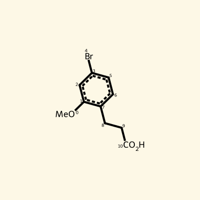 COc1cc(Br)ccc1CCC(=O)O